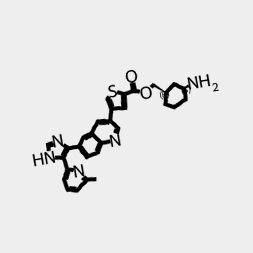 Cc1cccc(-c2[nH]cnc2-c2ccc3ncc(-c4csc(C(=O)OC[C@@H]5CCC[C@H](N)C5)c4)cc3c2)n1